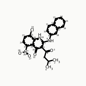 CC(C)CC(=O)c1c(Nc2ccc3ccccc3c2)[nH]c2c(Cl)ccc([N+](=O)[O-])c2c1=O